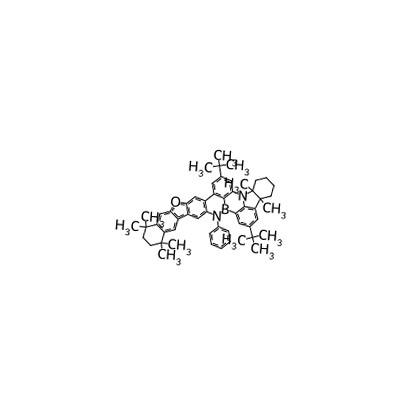 CC(C)(C)c1cc2c3c(c1)N1c4c(cc(C(C)(C)C)cc4C4(C)CCCCC14C)B3N(c1ccccc1)c1cc3c(cc1-2)oc1cc2c(cc13)C(C)(C)CCC2(C)C